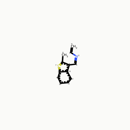 C=C/N=C\c1c(C)sc2ccccc12